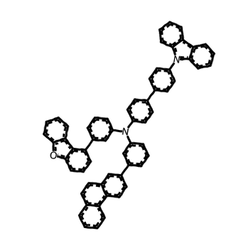 c1cc(-c2ccc3c(ccc4ccccc43)c2)cc(N(c2ccc(-c3ccc(-n4c5ccccc5c5ccccc54)cc3)cc2)c2cccc(-c3cccc4oc5ccccc5c34)c2)c1